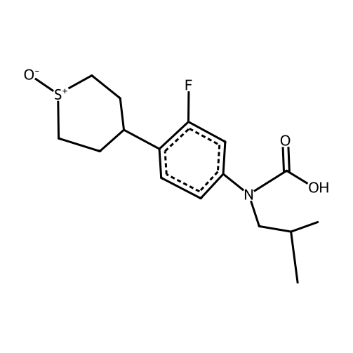 CC(C)CN(C(=O)O)c1ccc(C2CC[S+]([O-])CC2)c(F)c1